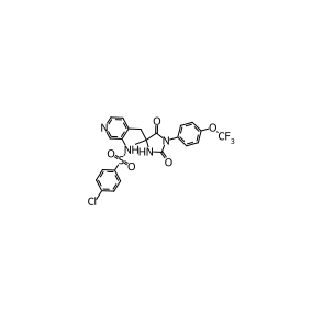 CC1(Cc2ccncc2NS(=O)(=O)c2ccc(Cl)cc2)NC(=O)N(c2ccc(OC(F)(F)F)cc2)C1=O